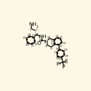 NCC[C@H](NC(=O)N1CCc2c(cccc2-c2ccc(C(F)(F)F)cc2)C1)c1ccccc1